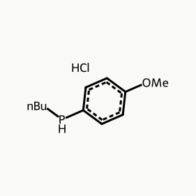 CCCCPc1ccc(OC)cc1.Cl